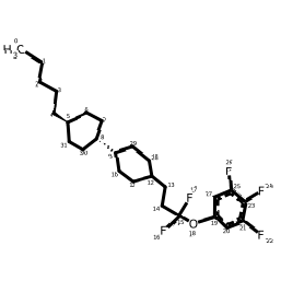 CCCCC[C@H]1CC[C@H](C2CCC(CCC(F)(F)Oc3cc(F)c(F)c(F)c3)CC2)CC1